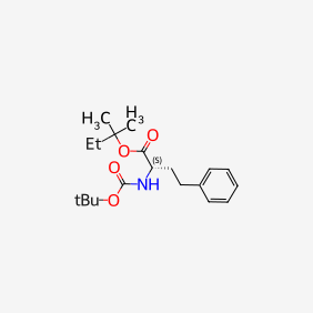 CCC(C)(C)OC(=O)[C@H](CCc1ccccc1)NC(=O)OC(C)(C)C